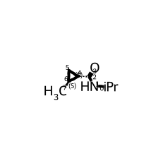 CC(C)NC(=O)[C@H]1C[C@@H]1C